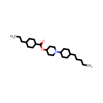 CCCCCC1CCC(N2CCC(OC(=O)C3CCC(CCC)CC3)CC2)CC1